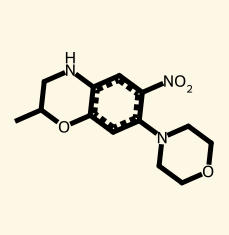 CC1CNc2cc([N+](=O)[O-])c(N3CCOCC3)cc2O1